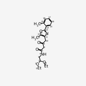 CCOC(CNC(=O)CC(=O)Cc1nc(-c2ccccc2C)oc1C)OCC